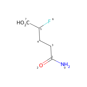 NC(=O)CCC(F)C(=O)O